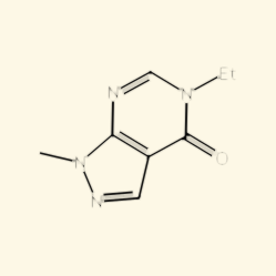 CCn1cnc2c(cnn2C)c1=O